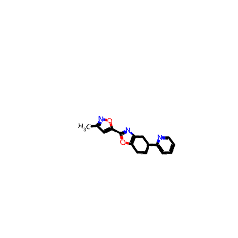 Cc1cc(-c2nc3c(o2)CCC(c2ccccn2)C3)on1